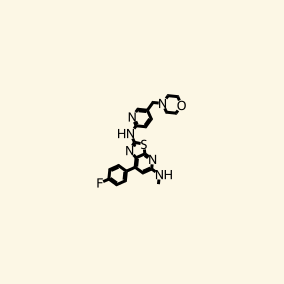 CNc1cc(-c2ccc(F)cc2)c2nc(Nc3ccc(CN4CCOCC4)cn3)sc2n1